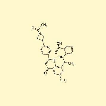 CC(=O)N1CC(c2ccc(-c3cc(=O)c4cc(C)cc(C(C)Nc5ccccc5C(=O)O)c4o3)cc2)C1